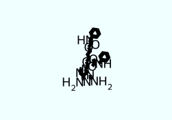 Nc1nc(N)c2ncn(C(OCCCOC(=O)Nc3ccccc3)OC(=O)Nc3ccccc3)c2n1